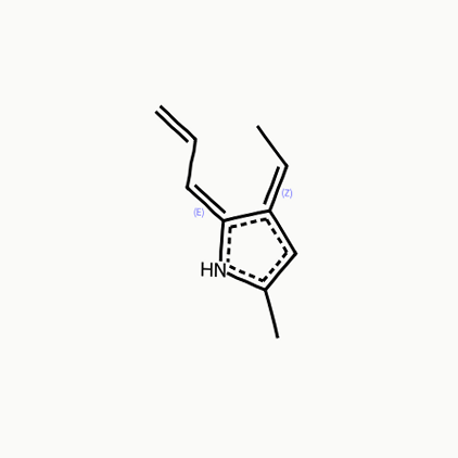 C=C/C=c1/[nH]c(C)c/c1=C/C